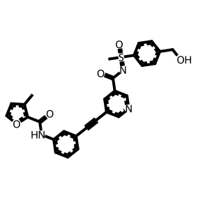 Cc1ccoc1C(=O)Nc1cccc(C#Cc2cncc(C(=O)N=S(C)(=O)c3ccc(CO)cc3)c2)c1